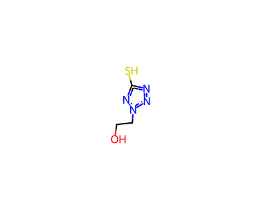 OCCn1nnc(S)n1